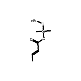 CC=CC(=O)O[Si](C)(C)OCCCC